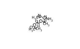 C[C@@H](Oc1cc(-c2cnn(C)c2)cnc1N)c1cccc(NC(=O)c2ccc(Cl)c(N(C)C)c2)c1